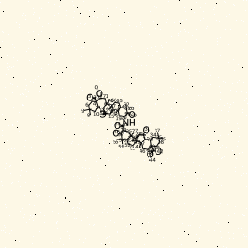 COC(=O)C12CCC(C)(C)CC1C1C(=O)C=C3C4(C)C=C(NC(=O)C5=CC6(C)C7=CC(=O)C8C9CC(C)(C)CCC9(C(=O)OC)CCC8(C)C7(C)CCC6C(C)(C)C5=O)C(=O)C(C)(C)C4CCC3(C)C1(C)CC2